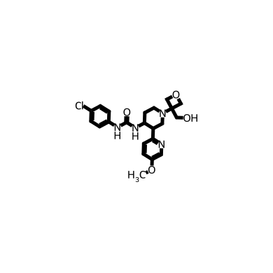 COc1ccc(C2CN(C3(CO)COC3)CCC2NC(=O)Nc2ccc(Cl)cc2)nc1